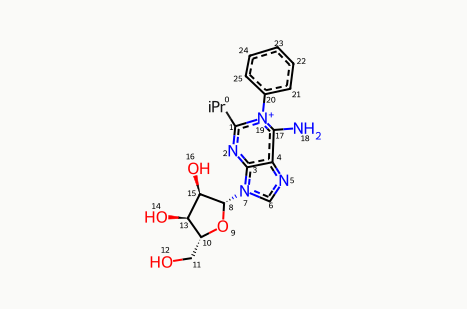 CC(C)c1nc2c(ncn2[C@@H]2O[C@H](CO)[C@@H](O)[C@H]2O)c(N)[n+]1-c1ccccc1